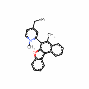 Cc1c(-c2cc(CC(C)C)cc[n+]2C)c2oc3ccccc3c2c2ccccc12